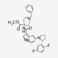 COC(=O)C1(NC(=O)c2cnn3ccc(N4CCC[C@@H]4c4cc(F)ccc4F)cc23)CCN(Cc2ccccc2)CC1